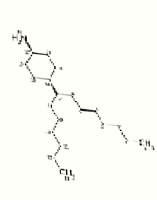 CCCCCCCC(CCCCCC)[C@H]1CC[C@@H](N)CC1